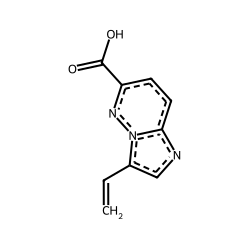 C=Cc1cnc2ccc(C(=O)O)nn12